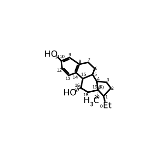 CCC1CCC2C3CCc4cc(O)ccc4C3[C@@H](O)C[C@]12C